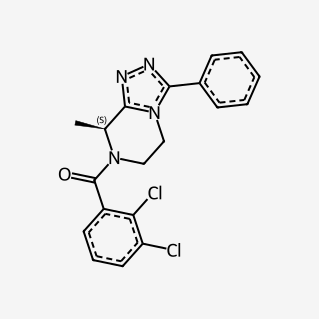 C[C@H]1c2nnc(-c3ccccc3)n2CCN1C(=O)c1cccc(Cl)c1Cl